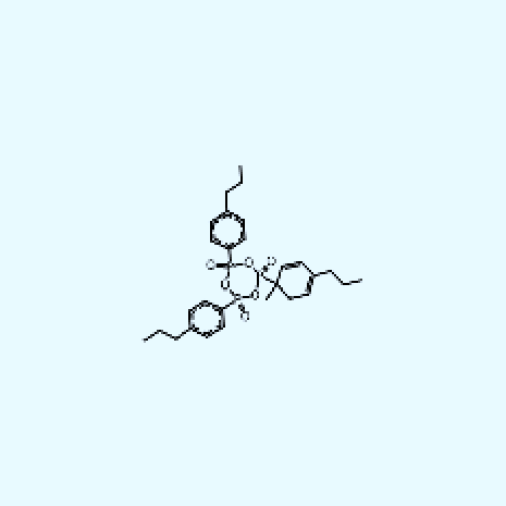 CCCC1=CCC(C)(P2(=O)OP(=O)(c3ccc(CCC)cc3)OP(=O)(c3ccc(CCC)cc3)O2)C=C1